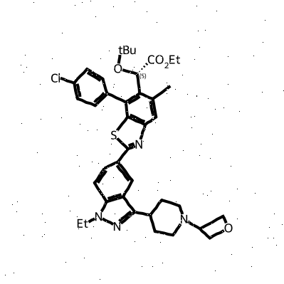 CCOC(=O)[C@@H](OC(C)(C)C)c1c(C)cc2nc(-c3ccc4c(c3)c(C3CCN(C5COC5)CC3)nn4CC)sc2c1-c1ccc(Cl)cc1